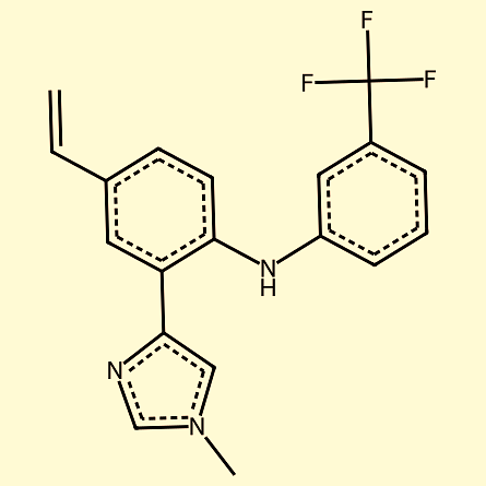 C=Cc1ccc(Nc2cccc(C(F)(F)F)c2)c(-c2cn(C)cn2)c1